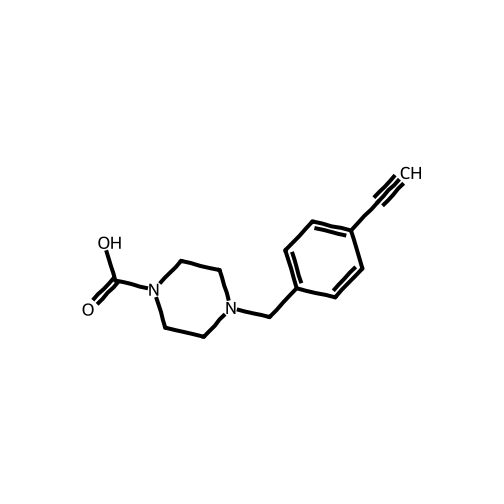 C#Cc1ccc(CN2CCN(C(=O)O)CC2)cc1